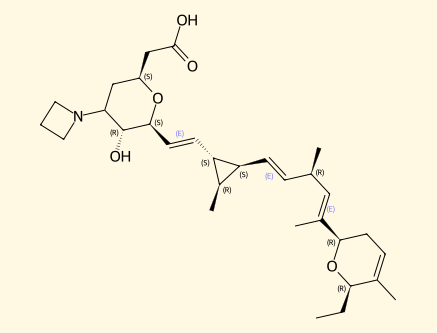 CC[C@H]1O[C@@H](/C(C)=C/[C@H](C)/C=C/[C@H]2[C@@H](C)[C@@H]2/C=C/[C@@H]2O[C@H](CC(=O)O)CC(N3CCC3)[C@H]2O)CC=C1C